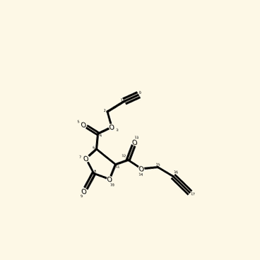 C#CCOC(=O)C1OC(=O)OC1C(=O)OCC#C